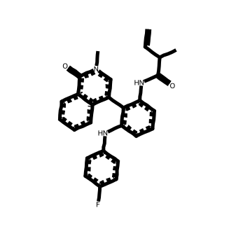 C=CC(C)C(=O)Nc1cccc(Nc2ccc(F)cc2)c1-c1cn(C)c(=O)c2ccccc12